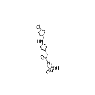 O=C(Cc1ccc(NCc2ccc(Cl)cc2)cc1)N1C[C@@H](O)[C@H](O)C1